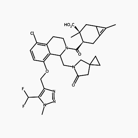 CC1=C2C[C@@H](C(=O)N3CCc4c(Cl)ccc(OCc5nnn(C)c5C(F)F)c4C3CN3CC4(CC4)CC3=O)[C@@](C)(C(=O)O)CC12